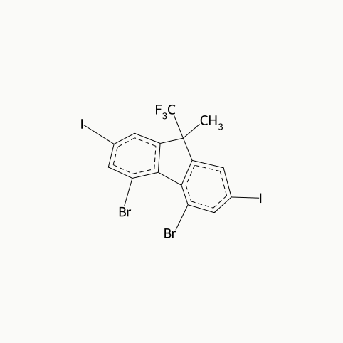 CC1(C(F)(F)F)c2cc(I)cc(Br)c2-c2c(Br)cc(I)cc21